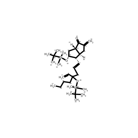 C=CC(C/C=C/[C@H]1[C@@H]2CC(=C)C(=O)[C@H]2C[C@H]1O[Si](C)(C)C(C)(C)C)(CCCC)O[Si](C)(C)C(C)(C)C